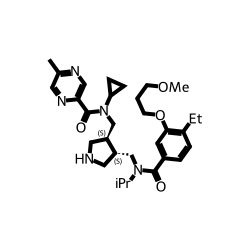 CCc1ccc(C(=O)N(C[C@@H]2CNC[C@H]2CN(C(=O)c2cnc(C)cn2)C2CC2)C(C)C)cc1OCCCOC